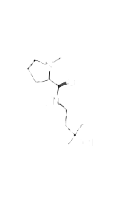 CN1CCCC1C(=O)NCCC(C)(C)O